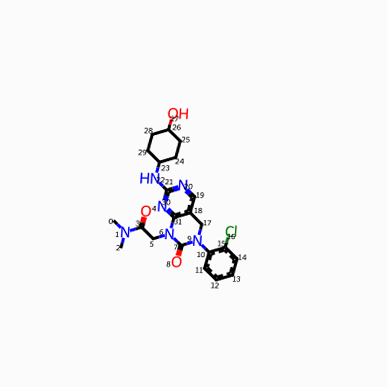 CN(C)C(=O)CN1C(=O)N(c2ccccc2Cl)Cc2cnc(NC3CCC(O)CC3)nc21